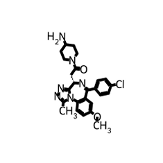 COc1ccc2c(c1)C(c1ccc(Cl)cc1)=N[C@@H](CC(=O)N1CCC(N)CC1)c1nnc(C)n1-2